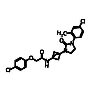 Cc1cc(Cl)ccc1N1CCN(C23CC(NC(=O)COc4ccc(Cl)cc4)(C2)C3)C1=O